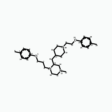 Cc1ccc(OCCCN2CCN(C)CC2CC2CCN(CCOc3ccc(C)cc3)CC2)cc1